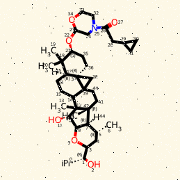 CC(C)[C@@H](O)C1C[C@@H](C)[C@H]2C(O1)[C@H](O)C1(C)C3CC[C@H]4C(C)(C)[C@@H](OC5CN(C(=O)CC6CC6)CCO5)CC[C@@]45CC35CC[C@]21C